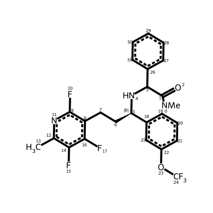 CNC(=O)C(N[C@H](CCc1c(F)nc(C)c(F)c1F)c1cccc(OC(F)(F)F)c1)c1ccccc1